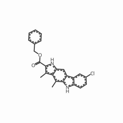 Cc1c(C(=O)OCc2ccccc2)[nH]c2cc3c([nH]c4ccc(Cl)cc43)c(C)c12